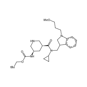 COCCCN1CC(CN(C(=O)[C@@H]2CNC[C@H](NC(=O)OCC(C)(C)C)C2)C2CC2)c2ccccc21